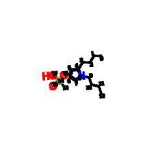 CCCCc1cccn1CCCC.CS(=O)(=O)O